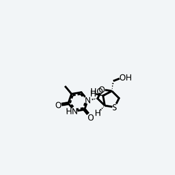 Cc1cn([C@@H]2O[C@@]3(CO)CS[C@@H]2[C@@H]3O)c(=O)[nH]c1=O